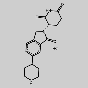 Cl.O=C1CC[C@H](N2Cc3ccc(C4CCNCC4)cc3C2=O)C(=O)N1